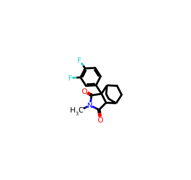 CN1C(=O)C2C3CCC(CC3)C2(c2ccc(F)c(F)c2)C1=O